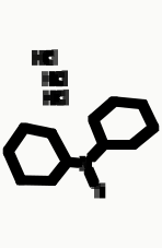 Cl.Cl.Cl.[Ti][N](C1CCCCC1)C1CCCCC1